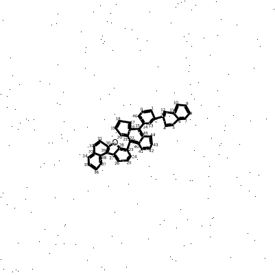 c1cc(-c2ccc3ccccc3c2)cc(-c2c3ccccc3c(-c3cccc4c3oc3ccc5ccccc5c34)c3ccccc23)c1